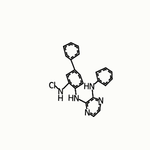 ClNc1cc(-c2ccccc2)ccc1Nc1nccnc1Nc1ccccc1